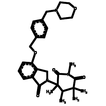 BC1C(B)(B)C(=O)N(B)C(=O)C1(B)N1Cc2c(OCc3ccc(CN4CCOCC4)cc3)cccc2C1=O